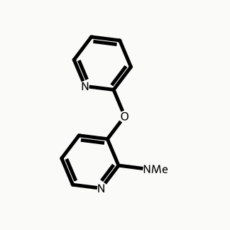 CNc1ncccc1Oc1ccccn1